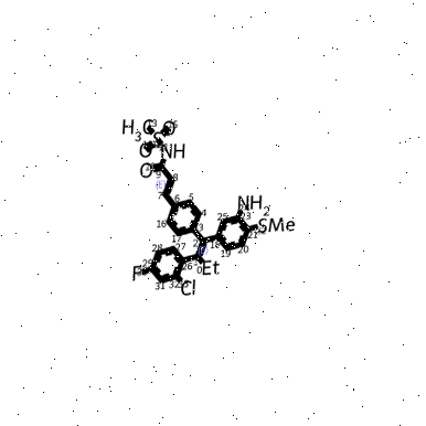 CC/C(=C(/c1ccc(/C=C/C(=O)NS(C)(=O)=O)cc1)c1ccc(SC)c(N)c1)c1ccc(F)cc1Cl